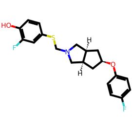 Oc1ccc(SCN2C[C@H]3C[C@@H](Oc4ccc(F)cc4)C[C@H]3C2)cc1F